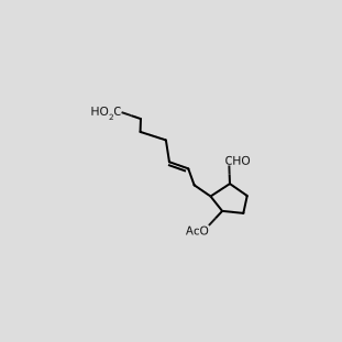 CC(=O)OC1CCC(C=O)C1CC=CCCCC(=O)O